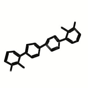 Cc1cccc(-c2ccc(-c3ccc(-c4cccc(C)c4C)cc3)cc2)c1C